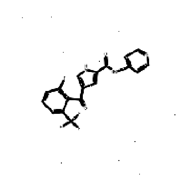 O=C(Nc1ccncc1)c1cc(C(=O)c2c(F)cccc2C(F)(F)F)c[nH]1